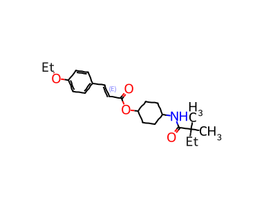 CCOc1ccc(/C=C/C(=O)OC2CCC(NC(=O)C(C)(C)CC)CC2)cc1